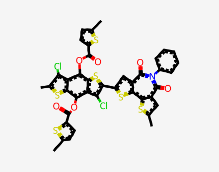 Cc1ccc(C(=O)Oc2c3sc(-c4cc5c(=O)n(-c6ccccc6)c(=O)c6cc(C)sc6c5s4)c(Cl)c3c(OC(=O)c3ccc(C)s3)c3sc(C)c(Cl)c23)s1